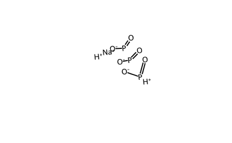 O=P[O-].O=P[O-].O=P[O-].[H+].[H+].[Na+]